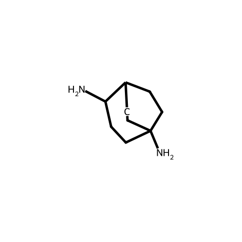 NC1CCC2(N)CCC1CC2